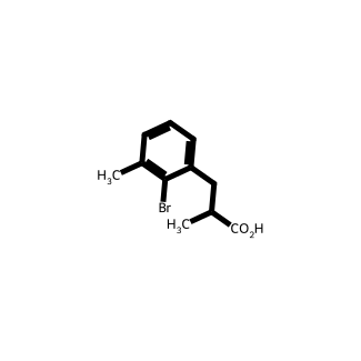 Cc1cccc(CC(C)C(=O)O)c1Br